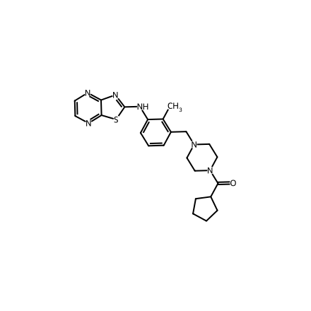 Cc1c(CN2CCN(C(=O)C3CCCC3)CC2)cccc1Nc1nc2nccnc2s1